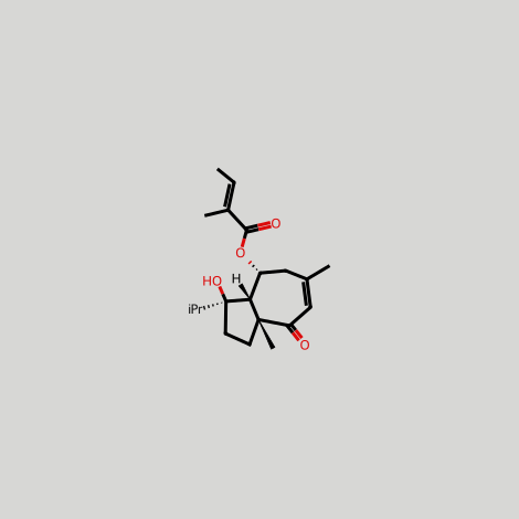 C/C=C(\C)C(=O)O[C@@H]1CC(C)=CC(=O)[C@]2(C)CC[C@](O)(C(C)C)[C@H]12